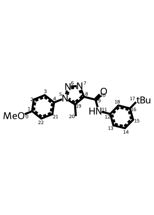 COc1ccc(-n2nnc(C(=O)Nc3cccc(C(C)(C)C)c3)c2C)cc1